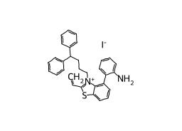 C=Cc1sc2cccc(-c3ccccc3N)c2[n+]1CCCC(c1ccccc1)c1ccccc1.[I-]